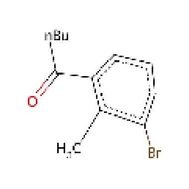 CCCCC(=O)c1cccc(Br)c1C